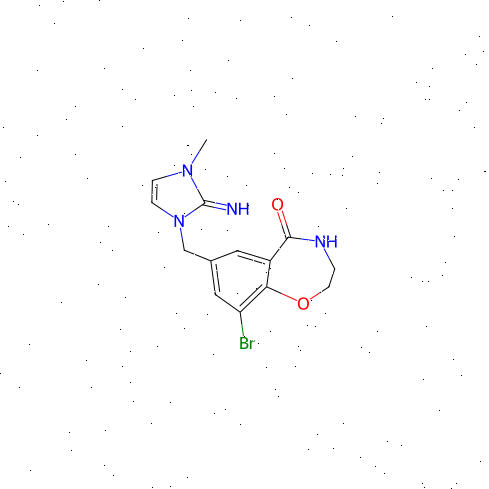 Cn1ccn(Cc2cc(Br)c3c(c2)C(=O)NCCO3)c1=N